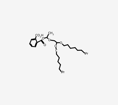 CC(C)CCCCCCOC(COC(C)OC(=O)c1ccccc1C(=O)O)OCCCCCCC(C)C